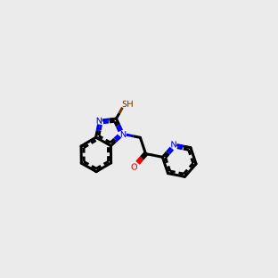 O=C(Cn1c(S)nc2ccccc21)c1ccccn1